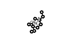 CC1(C)c2ccccc2-c2cc(-c3cccc4ccccc34)c(-c3cccc(-c4cccc(-c5cc(-c6cccc(-c7ccccc7)c6)nc(-c6ccccc6)n5)c4)c3)cc21